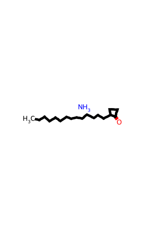 CCCCCCCCCCCCCCC1CCC1=O.N